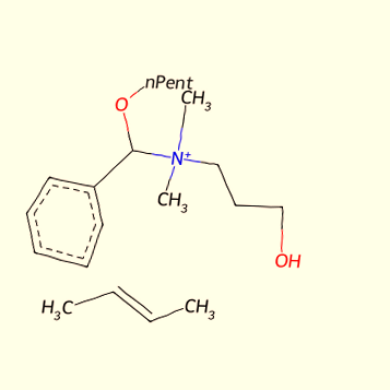 CC=CC.CCCCCOC(c1ccccc1)[N+](C)(C)CCCO